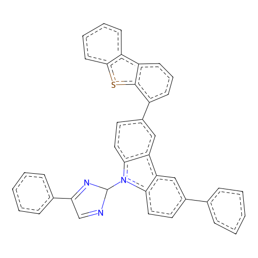 C1=NC(n2c3ccc(-c4ccccc4)cc3c3cc(-c4cccc5c4sc4ccccc45)ccc32)N=C1c1ccccc1